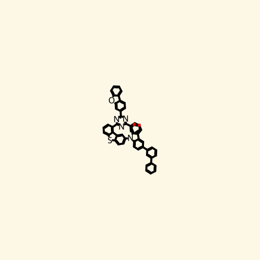 c1ccc(-c2cccc(-c3ccc4c(c3)c3ccccc3n4-c3ccc4sc5cccc(-c6nc(-c7ccccc7)nc(-c7ccc8c(c7)oc7ccccc78)n6)c5c4c3)c2)cc1